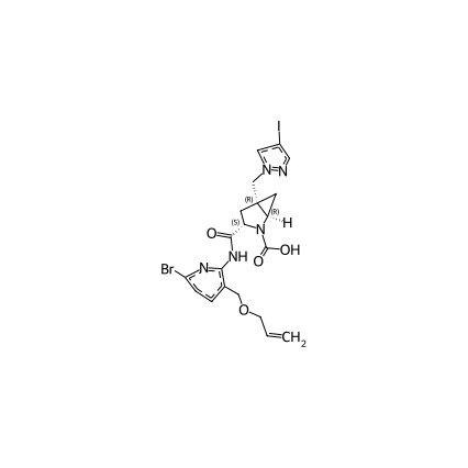 C=CCOCc1ccc(Br)nc1NC(=O)[C@@H]1C[C@@]2(Cn3cc(I)cn3)C[C@H]2N1C(=O)O